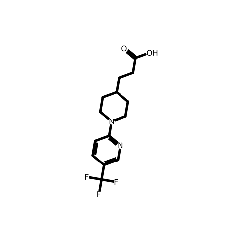 O=C(O)CCC1CCN(c2ccc(C(F)(F)F)cn2)CC1